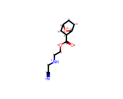 N#CCNCCOC(=O)C1CC2CCC1O2